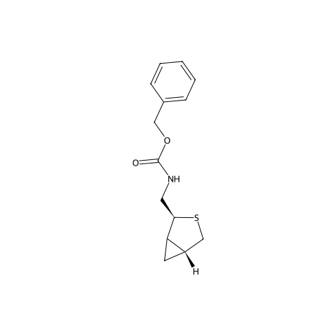 O=C(NC[C@H]1SC[C@@H]2CC21)OCc1ccccc1